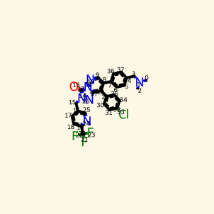 CN(C)Cc1ccc(-c2cnn3c(=O)n(Cc4ccc(C(F)(F)F)nc4)nc3c2-c2ccc(Cl)cc2)cc1